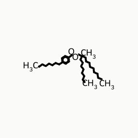 CCCCCCCCCCC(C)(CCCCCCCC)COC(=O)c1ccc(CCCCCCCC)cc1